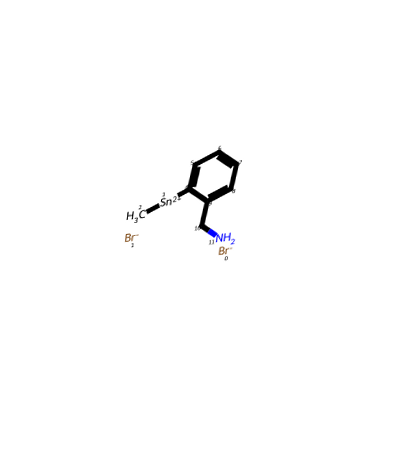 [Br-].[Br-].[CH3][Sn+2][c]1ccccc1CN